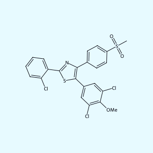 COc1c(Cl)cc(-c2sc(-c3ccccc3Cl)nc2-c2ccc(S(C)(=O)=O)cc2)cc1Cl